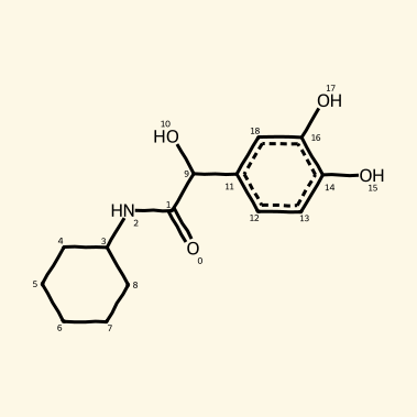 O=C(NC1CCCCC1)C(O)c1ccc(O)c(O)c1